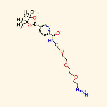 CC1(C)OB(c2ccc(C(=O)NCCOCCOCCOCCN=[N+]=[N-])nc2)OC1(C)C